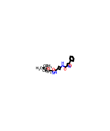 CC(C)(C)[Si](C)(C)OCc1nnc(C2CC(NC(=O)c3cc(-c4ccccc4)on3)C2)o1